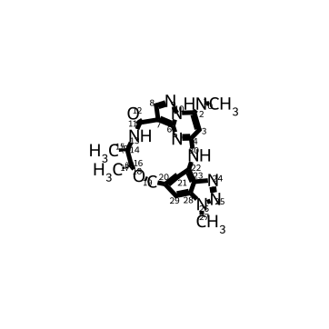 CNc1cc2nc3c(cnn13)C(=O)N[C@H](C)[C@@H](C)OCc1cc(c3nnn(C)c3c1)N2